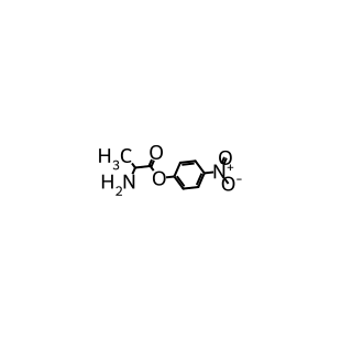 CC(N)C(=O)Oc1ccc([N+](=O)[O-])cc1